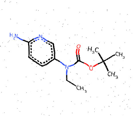 CCN(C(=O)OC(C)(C)C)c1ccc(N)nc1